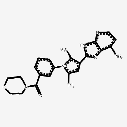 Cc1cc(-c2nc3c(N)ccnc3[nH]2)c(C)n1-c1cccc(C(=O)N2CCOCC2)c1